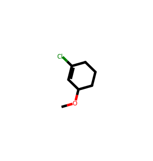 COC1C=C(Cl)CCC1